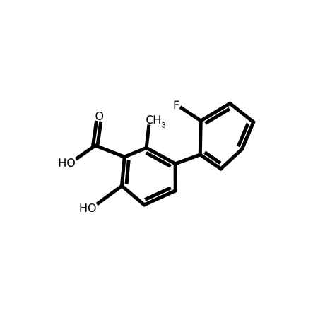 Cc1c(-c2ccccc2F)ccc(O)c1C(=O)O